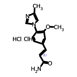 COc1cc(/C=C/C(N)=O)ccc1-n1cnc(C)c1.Cl.Cl